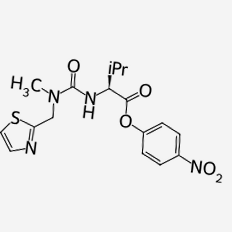 CC(C)[C@H](NC(=O)N(C)Cc1nccs1)C(=O)Oc1ccc([N+](=O)[O-])cc1